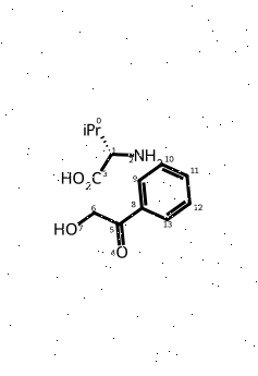 CC(C)[C@H](N)C(=O)O.O=C(CO)c1ccccc1